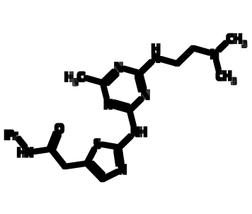 Cc1nc(NCCN(C)C)nc(Nc2ncc(CC(=O)NC(C)C)s2)n1